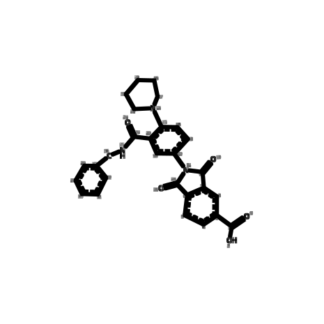 O=C(O)c1ccc2c(c1)C(=O)N(c1ccc(N3CCCCC3)c(C(=O)NCc3ccccc3)c1)C2=O